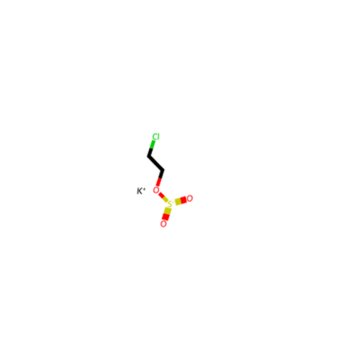 O=[S-](=O)OCCCl.[K+]